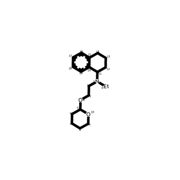 CCN(CCOC1CCCCO1)C1CCCc2ccccc21